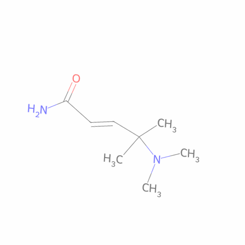 CN(C)C(C)(C)C=CC(N)=O